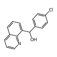 OC(c1ccc(Cl)cc1)c1cccc2cccnc12